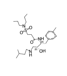 CCCN(CCC)S(=O)(=O)CCC(=O)N[C@H](Cc1ccc(C)cc1)[C@H](O)CNCCC(C)C